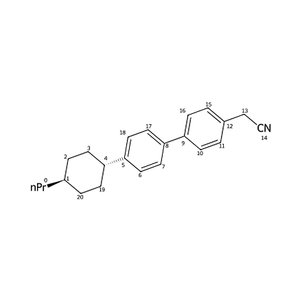 CCC[C@H]1CC[C@H](c2ccc(-c3ccc(CC#N)cc3)cc2)CC1